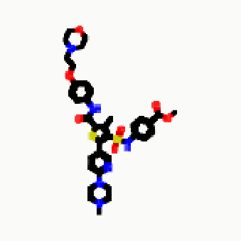 COC(=O)c1ccc(NS(=O)(=O)c2c(-c3ccc(N4CCN(C)CC4)nc3)sc(C(=O)Nc3ccc(OCCN4CCOCC4)cc3)c2C)cc1